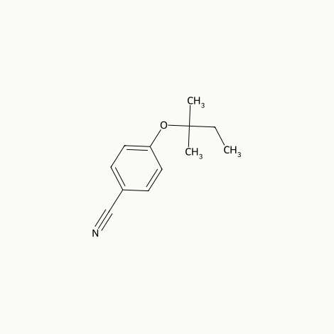 CCC(C)(C)Oc1ccc(C#N)cc1